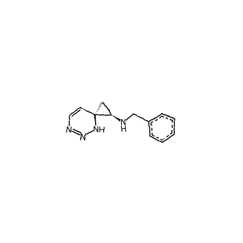 C1=C[C@]2(C[C@H]2NCc2ccccc2)NN=N1